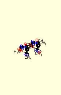 Cc1ncc(-c2ccc3c(c2)N(c2cncc(S(C)(=O)=O)n2)C(=O)C3(C)C)c[n+]1[O-].Cc1ncc(-c2ccc3c(c2)N(c2cncc(S(C)(=O)=O)n2)C(=O)C3(C)C)cn1